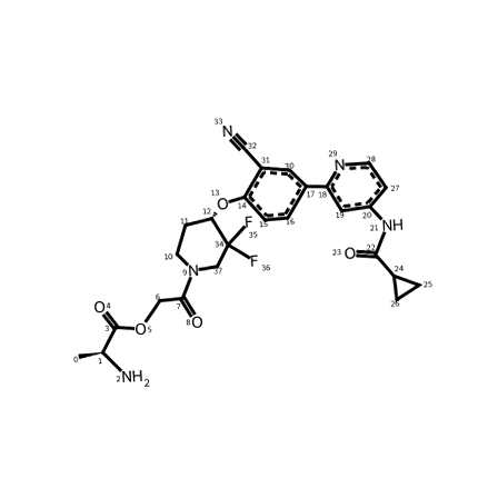 C[C@H](N)C(=O)OCC(=O)N1CC[C@H](Oc2ccc(-c3cc(NC(=O)C4CC4)ccn3)cc2C#N)C(F)(F)C1